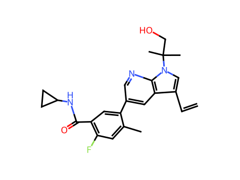 C=Cc1cn(C(C)(C)CO)c2ncc(-c3cc(C(=O)NC4CC4)c(F)cc3C)cc12